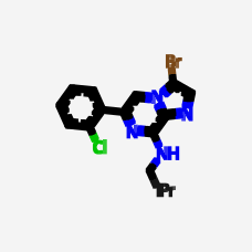 CC(C)CNc1nc(-c2ccccc2Cl)cn2c(Br)cnc12